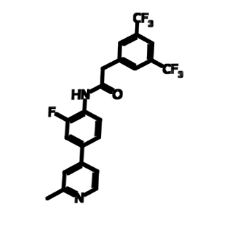 Cc1cc(-c2ccc(NC(=O)Cc3cc(C(F)(F)F)cc(C(F)(F)F)c3)c(F)c2)ccn1